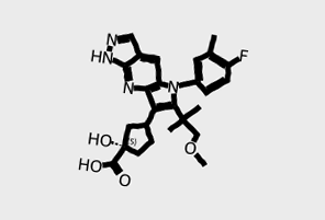 COCC(C)(C)c1c(C2CC[C@@](O)(C(=O)O)C2)c2nc3[nH]ncc3cc2n1-c1ccc(F)c(C)c1